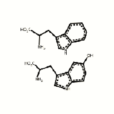 NC(Cc1c[nH]c2ccc(O)cc12)C(=O)O.NC(Cc1c[nH]c2ccccc12)C(=O)O